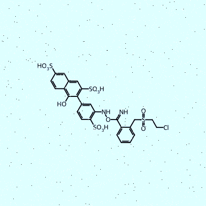 N=C(ONc1cc(-c2c(S(=O)(=O)O)cc3cc(S(=O)(=O)O)ccc3c2O)ccc1S(=O)(=O)O)c1ccccc1CS(=O)(=O)CCCl